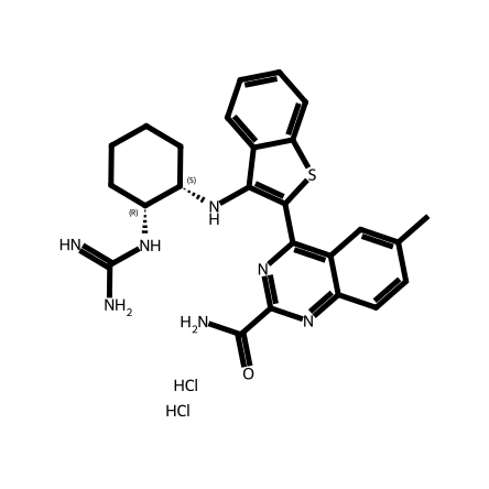 Cc1ccc2nc(C(N)=O)nc(-c3sc4ccccc4c3N[C@H]3CCCC[C@H]3NC(=N)N)c2c1.Cl.Cl